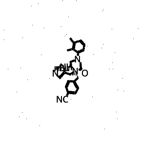 CCCCC1CN(c2cccc(C)c2C)CC(=O)[N@@+]1(Cc1ccc(C#N)cc1)Cc1cnc[nH]1